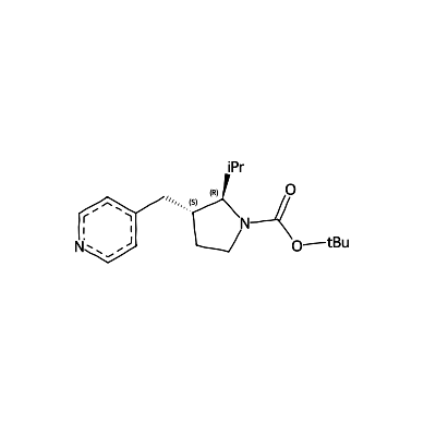 CC(C)[C@@H]1[C@@H](Cc2ccncc2)CCN1C(=O)OC(C)(C)C